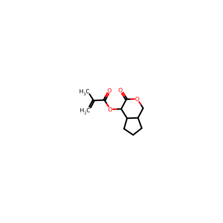 C=C(C)C(=O)OC1C(=O)OCC2CCCC21